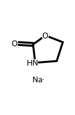 O=C1NCCO1.[Na]